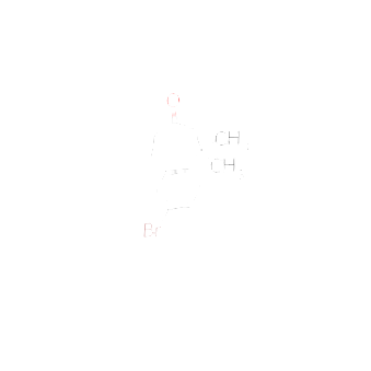 CC1(C)CC(=O)CCc2cc(Br)ccc21